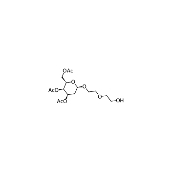 CC(=O)OC[C@H]1O[C@@H](OCCOCCO)C[C@@H](OC(C)=O)[C@H]1OC(C)=O